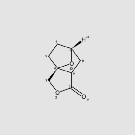 O=C1OC[C@]23CC[C@H](CC12)O3